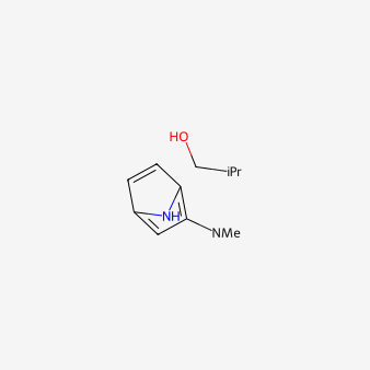 CC(C)CO.CNc1cc2ccc1[nH]2